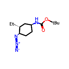 CC[C@@H]1C[C@@H](NC(=O)OC(C)(C)C)CC[C@@H]1N=[N+]=[N-]